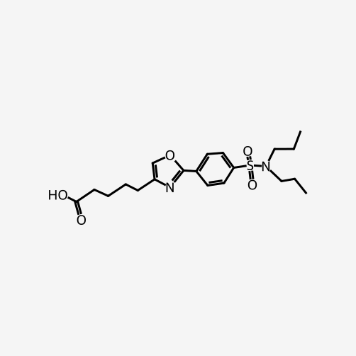 CCCN(CCC)S(=O)(=O)c1ccc(-c2nc(CCCCC(=O)O)co2)cc1